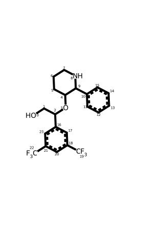 OCC(OC1CCCNC1c1ccccc1)c1cc(C(F)(F)F)cc(C(F)(F)F)c1